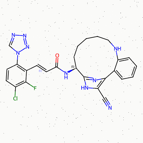 N#Cc1[nH]c2nc1-c1ccccc1NCCCCC[C@@H]2NC(=O)/C=C/c1c(-n2cnnn2)ccc(Cl)c1F